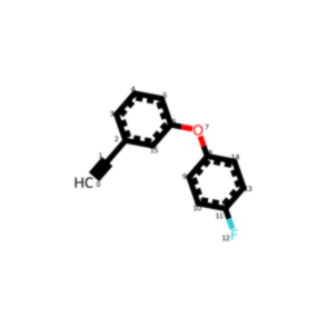 C#Cc1cccc(Oc2ccc(F)cc2)c1